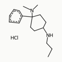 CCCNC1CCC(c2ccccc2)(N(C)C)CC1.Cl